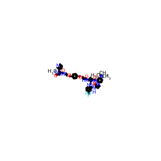 CC(C)N(C)[C@@H]1CC[C@H](N2CC[C@H](Nc3ncnc4ccc(C(F)(F)F)cc34)C2=O)[C@H](NC(=O)[C@H]2C[C@@H](NC(=O)CCOC[C@H]3CC[C@H](COCCNC(=O)[C@H]4CC(=O)N(C)[C@@H]4c4cccnc4)CC3)C2)C1